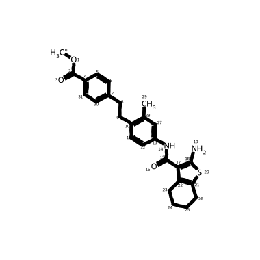 COC(=O)c1ccc(CCc2ccc(NC(=O)c3c(N)sc4c3CCCC4)cc2C)cc1